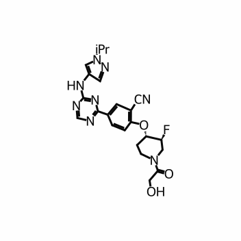 CC(C)n1cc(Nc2ncnc(-c3ccc(O[C@H]4CCN(C(=O)CO)C[C@@H]4F)c(C#N)c3)n2)cn1